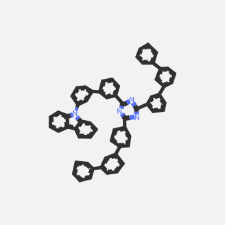 c1ccc(-c2cccc(-c3ccc(-c4nc(-c5cccc(-c6cccc(-c7ccccc7)c6)c5)nc(-c5cccc(-c6cccc(-n7c8ccccc8c8ccccc87)c6)c5)n4)cc3)c2)cc1